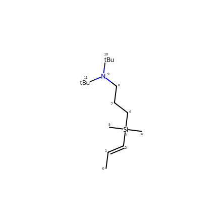 CC=C[Si](C)(C)CCCN(C(C)(C)C)C(C)(C)C